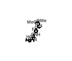 C=C(C)c1ccc(-c2c(C)ncc(C(=O)Nc3ccc(Oc4ccnc5cc(OC)c(OC)nc45)c(F)c3)c2O)o1